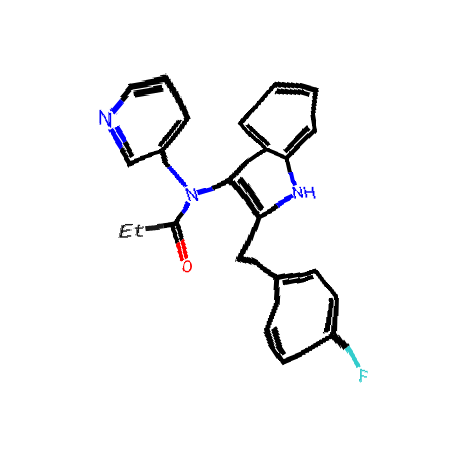 CCC(=O)N(c1cccnc1)c1c(Cc2ccc(F)cc2)[nH]c2ccccc12